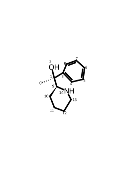 C[C@](O)(c1ccccc1)[C@@H]1CCCCN1